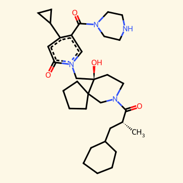 C[C@H](CC1CCCCC1)C(=O)N1CC[C@@](O)(Cn2cc(C(=O)N3CCNCC3)c(C3CC3)cc2=O)C2(CCCC2)C1